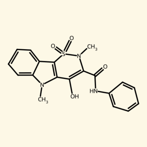 CN1C(C(=O)Nc2ccccc2)=C(O)c2c(c3ccccc3n2C)S1(=O)=O